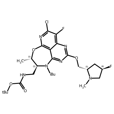 CCC(C)N1c2nc(OC[C@@H]3C[C@@H](F)CN3C)nc3c(F)c(Cl)nc(c23)O[C@@H](C)[C@@H]1CNC(=O)OC(C)(C)C